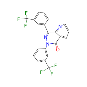 O=c1c2cccnc2c(-c2cccc(C(F)(F)F)c2)nn1-c1cccc(C(F)(F)F)c1